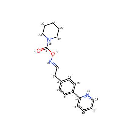 O=C(ON=CCc1ccc(-c2ccccn2)cc1)N1CCCCC1